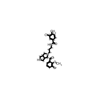 COc1c(Br)cccc1C(=O)[C@@H]1C2CNCC2CN1CCCNC(=O)c1ccc(C)c(Cl)c1